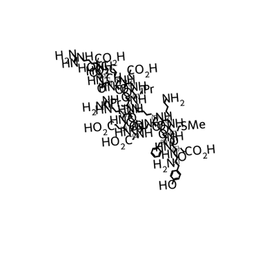 CSCC[C@H](NC(=O)[C@H](Cc1ccccc1)NC(=O)[C@H](CCC(=O)O)NC(=O)[C@@H](N)Cc1ccc(O)cc1)C(=O)N[C@@H](CCCCN)C(=O)N[C@@H](CCCCN)C(=O)NCC(=O)N[C@@H](CC(=O)O)C(=O)N[C@@H](CCC(=O)O)C(=O)N[C@@H](CCCNC(=N)N)C(=O)N[C@@H](CC(C)C)C(=O)N[C@@H](CC(C)C)C(=O)N[C@@H](CCC(=O)O)C(=O)N[C@@H](CCC(=O)O)C(=O)N[C@@H](C)C(=O)N[C@@H](CCC(=O)O)C(=O)N[C@@H](CCCNC(=N)N)C(=O)O